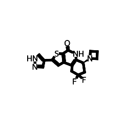 O=c1[nH]c2c(c3cc(-c4cn[nH]c4)sc13)CC(F)(F)C[C@@H]2N1CCC1